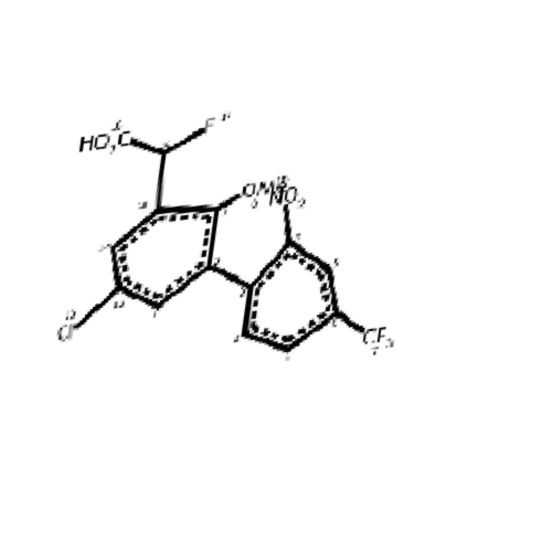 COc1c(-c2ccc(C(F)(F)F)cc2[N+](=O)[O-])cc(Cl)cc1C(F)C(=O)O